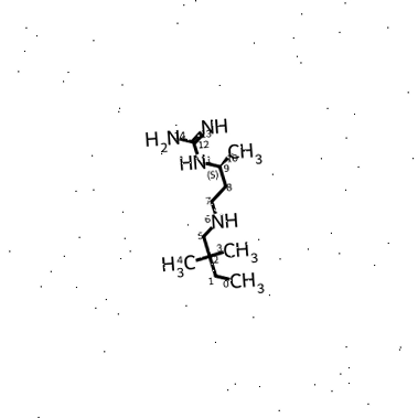 CCC(C)(C)CNCC[C@H](C)NC(=N)N